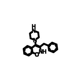 c1ccc(CC2=C(N3CCNCC3)c3ccccc3ON2)cc1